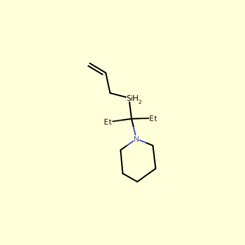 C=CC[SiH2]C(CC)(CC)N1CCCCC1